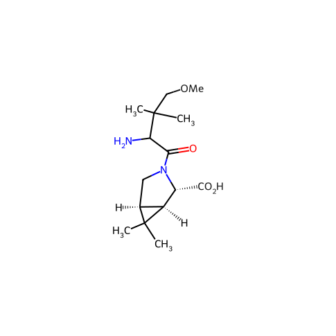 COCC(C)(C)C(N)C(=O)N1C[C@H]2[C@@H]([C@H]1C(=O)O)C2(C)C